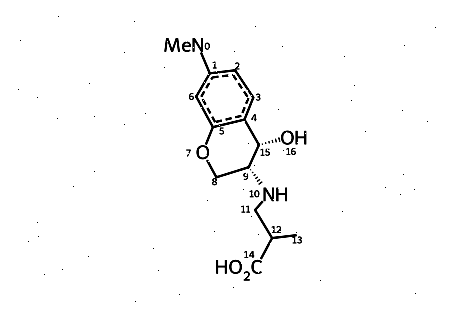 CNc1ccc2c(c1)OC[C@@H](NCC(C)C(=O)O)[C@H]2O